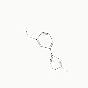 Cc1nc(-c2cccc(OC(F)(F)F)c2)cs1